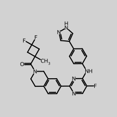 CC1(C(=O)N2CCc3ccc(-c4ncc(F)c(Nc5ccc(-c6cn[nH]c6)cc5)n4)cc3C2)CC(F)(F)C1